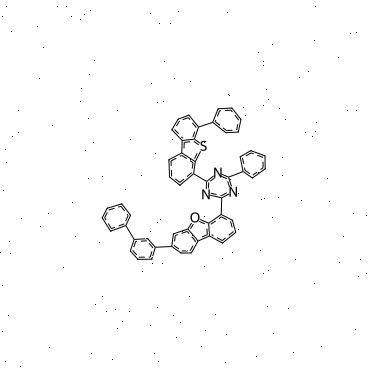 c1ccc(-c2cccc(-c3ccc4c(c3)oc3c(-c5nc(-c6ccccc6)nc(-c6cccc7c6sc6c(-c8ccccc8)cccc67)n5)cccc34)c2)cc1